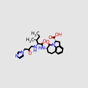 CC[C@H](C)[C@H](NCC(=O)Cn1ccnc1)C(=O)N[C@H]1CCc2cccc3c2N(C1=O)[C@H](C(=O)O)C3